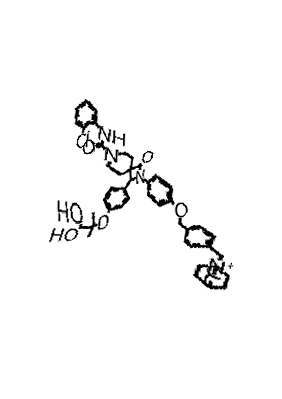 CC(C)(Oc1ccc(C2N(c3ccc(OCc4ccc(C[N+]56CCC(CC5)CC6)cc4)cc3)C(=O)C23CCN(C(=O)Nc2ccccc2Cl)CC3)cc1)C(O)O